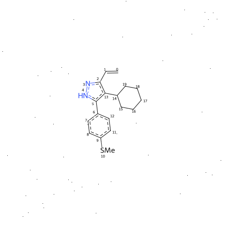 C=Cc1n[nH]c(-c2ccc(SC)cc2)c1C1CCCCC1